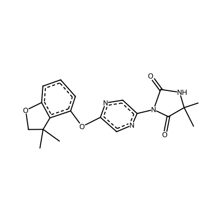 CC1(C)NC(=O)N(c2cnc(Oc3cccc4c3C(C)(C)CO4)cn2)C1=O